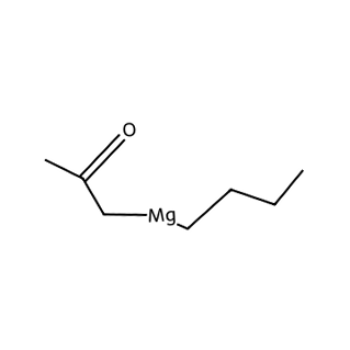 CCC[CH2][Mg][CH2]C(C)=O